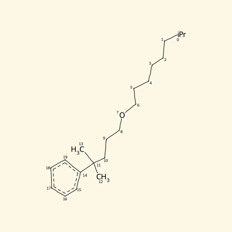 CC(C)CCCCCCOCCCC(C)(C)c1ccccc1